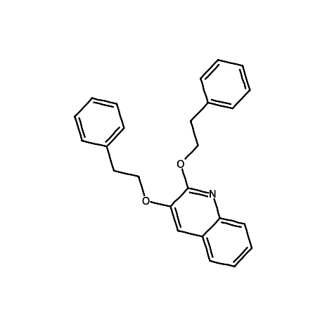 c1ccc(CCOc2cc3ccccc3nc2OCCc2ccccc2)cc1